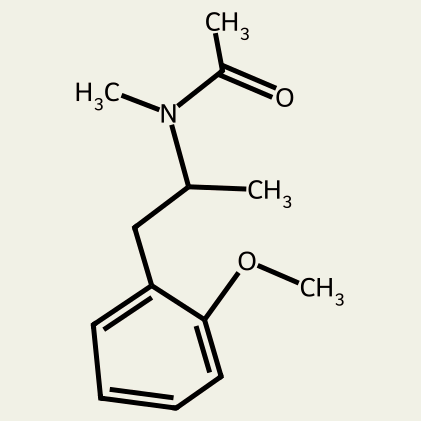 COc1ccccc1CC(C)N(C)C(C)=O